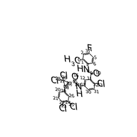 Cc1cc(F)ccc1NC(=O)c1cc(NC(=O)[C@@H]2[C@@H](c3ccc(Cl)c(Cl)c3)C2(Cl)Cl)ccc1Cl